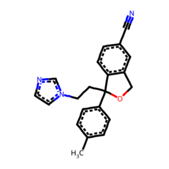 Cc1ccc(C2(CCn3ccnc3)OCc3cc(C#N)ccc32)cc1